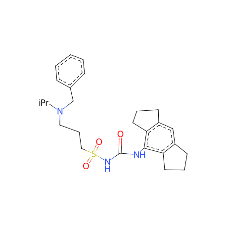 CC(C)N(CCCS(=O)(=O)NC(=O)Nc1c2c(cc3c1CCC3)CCC2)Cc1ccccc1